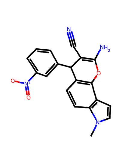 Cn1ccc2c3c(ccc21)C(c1cccc([N+](=O)[O-])c1)C(C#N)=C(N)O3